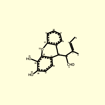 CC=C(C)C(C=O)C1c2ccccc2Oc2c1ccc(O)c2O